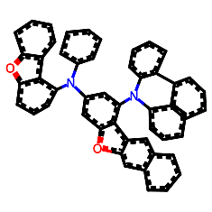 c1ccc(-c2ccccc2N(c2ccccc2)c2cc(N(c3ccccc3)c3cccc4oc5ccccc5c34)cc3oc4cc5ccccc5cc4c23)cc1